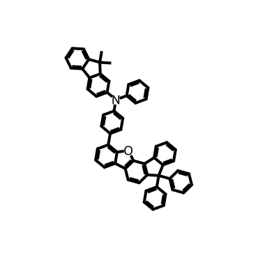 CC1(C)c2ccccc2-c2ccc(N(c3ccccc3)c3ccc(-c4cccc5c4oc4c6c(ccc45)C(c4ccccc4)(c4ccccc4)c4ccccc4-6)cc3)cc21